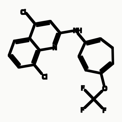 FC(F)(F)OC1=CCC=C(Nc2cc(Cl)c3cccc(Cl)c3n2)C=C1